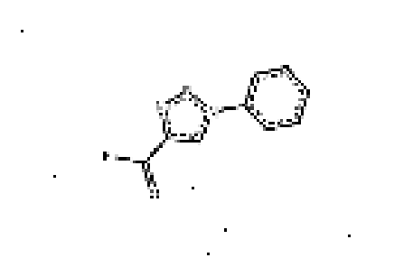 CCC(=O)c1cn(-c2ccccc2)nn1